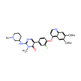 COc1cc2nccc(Oc3ccc(-c4cnc(NC5CCCN(C(C)=O)C5)n(C)c4=O)cc3F)c2cc1OC